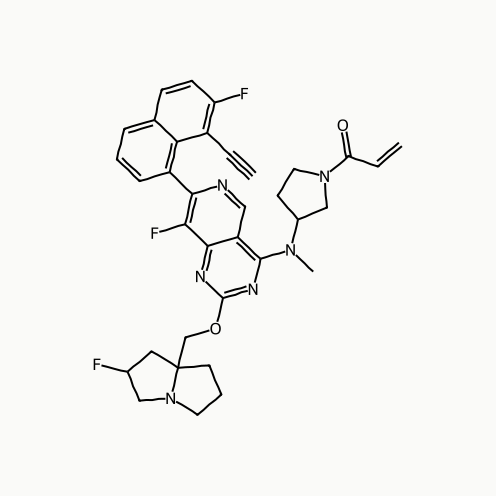 C#Cc1c(F)ccc2cccc(-c3ncc4c(N(C)C5CCN(C(=O)C=C)C5)nc(OCC56CCCN5CC(F)C6)nc4c3F)c12